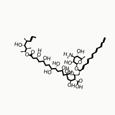 C=C/C=C/C=C/C=C/C=C/C=C/[C@@H](C[C@@H]1O[C@](O)(C[C@@H](O)C[C@@H](O)[C@H](O)CC[C@@H](O)C[C@@H](O)CC(=O)O[C@@H](C)[C@H](C)[C@H](O)[C@@H](C)/C=C/C)C[C@H](O)[C@H]1C(=O)O)O[C@@H]1O[C@H](C)[C@@H](O)[C@H](N)[C@H]1O